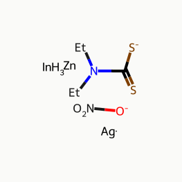 CCN(CC)C(=S)[S-].O=[N+]([O-])[O-].[Ag].[InH3].[Zn]